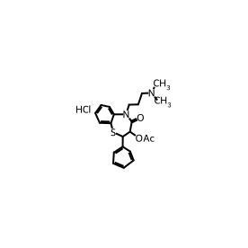 CC(=O)OC1C(=O)N(CCCN(C)C)c2ccccc2SC1c1ccccc1.Cl